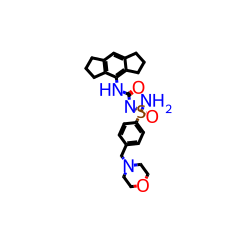 NS(=O)(=NC(=O)Nc1c2c(cc3c1CCC3)CCC2)c1ccc(CN2CCOCC2)cc1